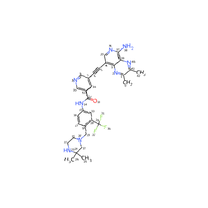 Cc1nc2c(C#Cc3cncc(C(=O)Nc4ccc(CN5CCNC(C)(C)C5)c(C(F)(F)F)c4)c3)cnc(N)c2nc1C